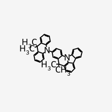 CC1(C)c2ccccc2N(c2ccc3c(c2)C(C)(C)c2cccc4c5ccccc5n-3c24)c2ccccc21